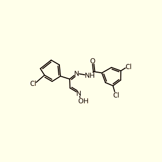 O=C(NN=C(C=NO)c1cccc(Cl)c1)c1cc(Cl)cc(Cl)c1